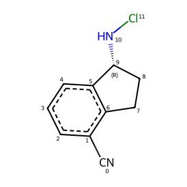 N#Cc1cccc2c1CC[C@H]2NCl